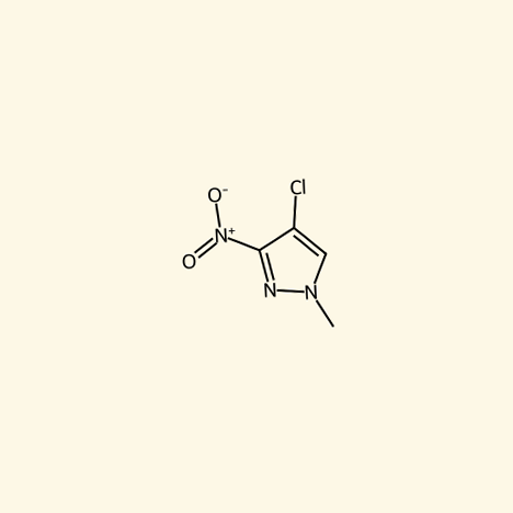 Cn1cc(Cl)c([N+](=O)[O-])n1